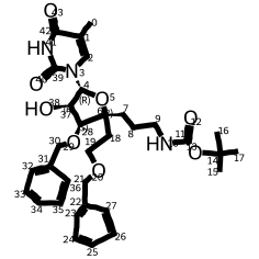 Cc1cn([C@@H]2O[C@](CCCNC(=O)OC(C)(C)C)(CCOCc3ccccc3)[C@@H](OCc3ccccc3)[C@H]2O)c(=O)[nH]c1=O